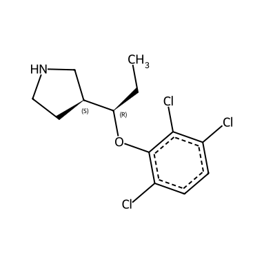 CC[C@@H](Oc1c(Cl)ccc(Cl)c1Cl)[C@H]1CCNC1